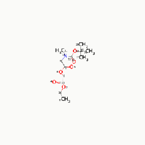 CCOC(=O)COC(=O)CN(C)C(=O)OC(C)(C)C